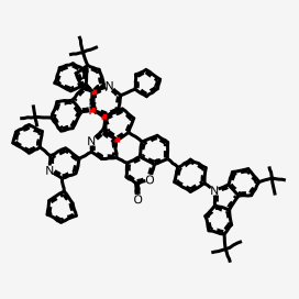 CC(C)(C)c1ccc2c(c1)c1cc(C(C)(C)C)ccc1n2-c1ccc(-c2ccc(-c3ccc(-n4c5ccc(C(C)(C)C)cc5c5cc(C(C)(C)C)ccc54)cc3)c3c(-c4cc(-c5cc(-c6ccccc6)nc(-c6ccccc6)c5)nc(-c5cc(-c6ccccc6)nc(-c6ccccc6)c5)c4)cc(=O)oc23)cc1